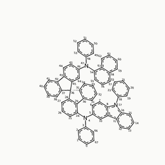 c1ccc(N(c2ccc3c(c2)c2ccccc2n3-c2ccccc2)c2cccc3c2-c2ccccc2[C@@]32c3ccccc3-c3ccc(N(c4ccccc4)c4cccc5ccccc45)cc32)cc1